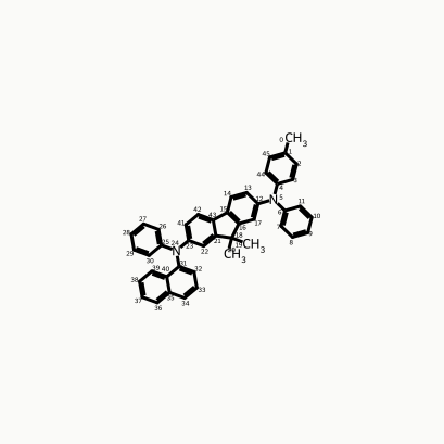 Cc1ccc(N(c2ccccc2)c2ccc3c(c2)C(C)(C)c2cc(N(c4ccccc4)c4cccc5ccccc45)ccc2-3)cc1